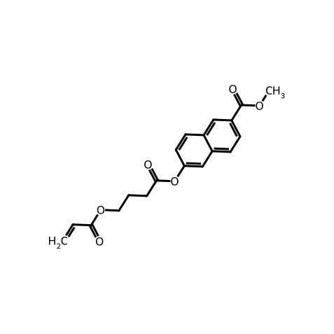 C=CC(=O)OCCCC(=O)Oc1ccc2cc(C(=O)OC)ccc2c1